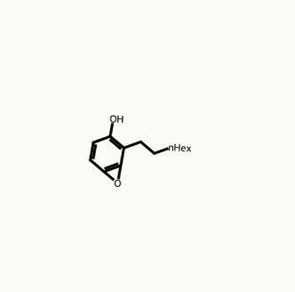 CCCCCCCCc1c(O)ccc2c1O2